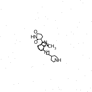 Cn1nc(C2CCC(=O)NC2=O)c2cccc(N3CC(C4CCNCC4)C3)c21